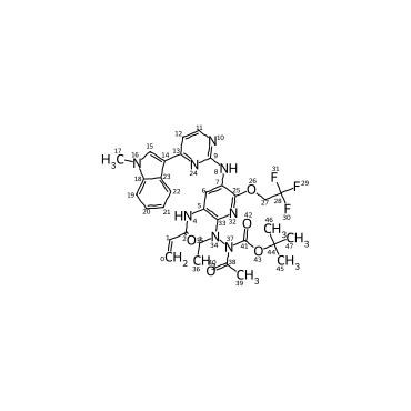 C=CC(=O)Nc1cc(Nc2nccc(-c3cn(C)c4ccccc34)n2)c(OCC(F)(F)F)nc1N(CC)N(C(C)=O)C(=O)OC(C)(C)C